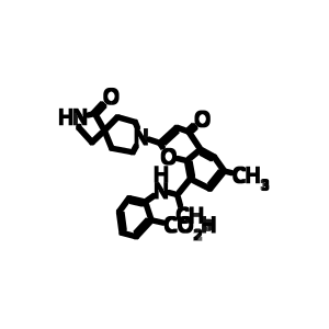 Cc1cc(C(C)Nc2ccccc2C(=O)O)c2oc(N3CCC4(CCNC4=O)CC3)cc(=O)c2c1